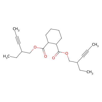 CC#CC(CC)COC(=O)C1CCCCC1C(=O)OCC(C#CC)CC